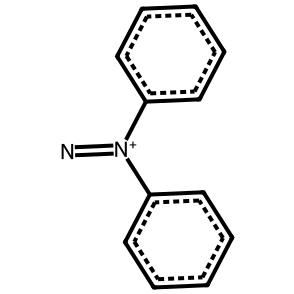 [N-]=[N+](c1ccccc1)c1ccccc1